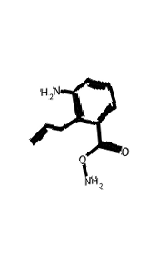 C=CCc1c(N)cccc1C(=O)ON